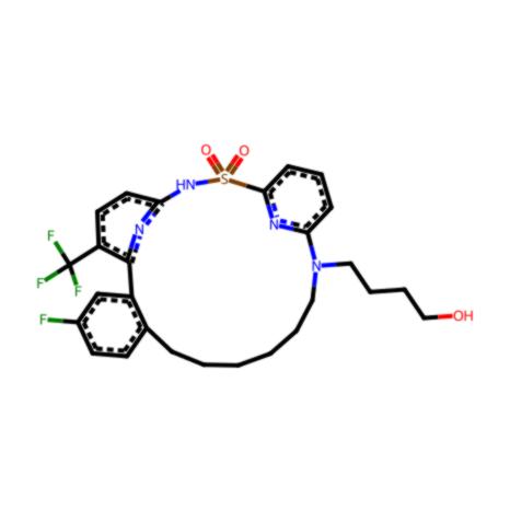 O=S1(=O)Nc2ccc(C(F)(F)F)c(n2)-c2cc(F)ccc2CCCCCCN(CCCCO)c2cccc1n2